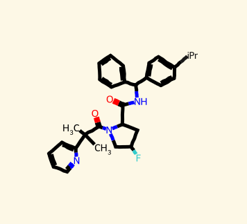 CC(C)c1ccc(C(NC(=O)C2CC(F)CN2C(=O)C(C)(C)c2ccccn2)c2ccccc2)cc1